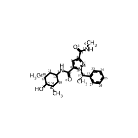 CNC(=O)c1cc(C(=O)NC2C[C@@H](C)C(O)[C@@H](C)C2)n([C@@H](C)c2ccccc2)n1